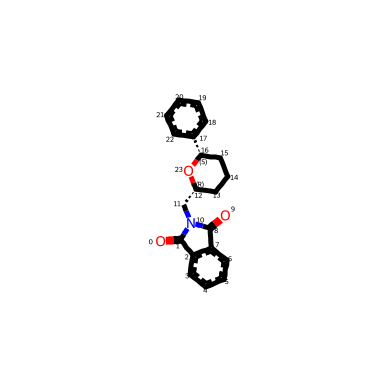 O=C1c2ccccc2C(=O)N1C[C@H]1CCC[C@@H](c2ccccc2)O1